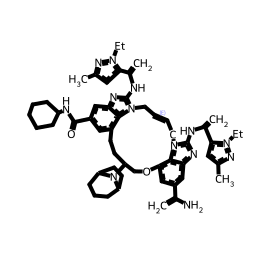 C=C(N)c1cc2c3c(c1)nc(NC(=C)c1cc(C)nn1CC)n3C/C=C/Cn1c(NC(=C)c3cc(C)nn3CC)nc3cc(C(=O)NC4CCCCC4)cc(c31)CCC(N1C3CCCC1CC3)CO2